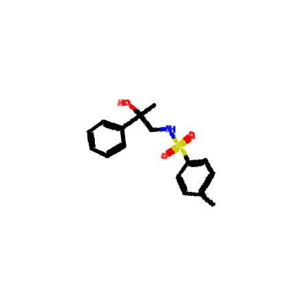 Cc1ccc(S(=O)(=O)NCC(C)(O)c2ccccc2)cc1